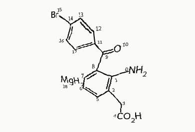 Nc1c(CC(=O)O)cccc1C(=O)c1ccc(Br)cc1.[MgH2]